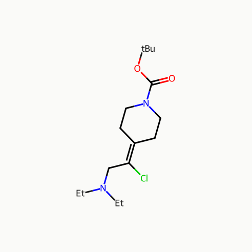 CCN(CC)CC(Cl)=C1CCN(C(=O)OC(C)(C)C)CC1